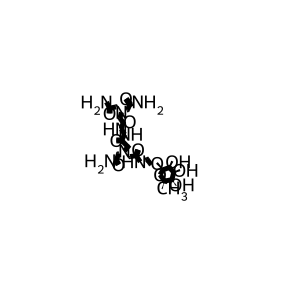 C[C@@H]1O[C@@H](OCCNC(=O)CN(CC(N)=O)CC(=O)NNC(=O)CN(CC(N)=O)CC(N)=O)[C@@H](O)[C@@H](O)[C@@H]1O